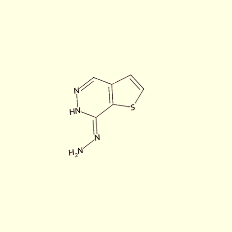 N/N=c1\[nH]ncc2ccsc12